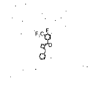 O=C(c1ccc(F)c(C(F)(F)F)c1)[C@@H]1CC[C@@H]1Cc1ccccc1